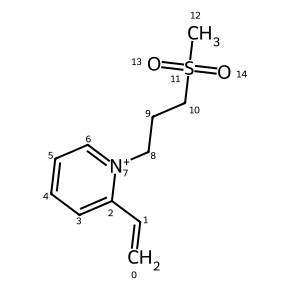 C=Cc1cccc[n+]1CCCS(C)(=O)=O